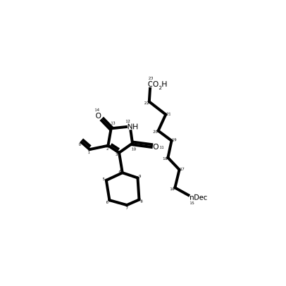 C=CC1=C(C2CCCCC2)C(=O)NC1=O.CCCCCCCCCCCCCCCCCC(=O)O